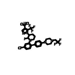 O=C(O)c1cnn(C2CCCN(c3cc(Cl)ccc3-c3ccc(N4CCN(CC(F)(F)F)CC4)cc3)C2I)c1C(F)(F)F